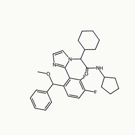 COC(c1ccccc1)c1ccc(F)c(F)c1-c1nccn1C(C(=O)NC1CCCC1)C1CCCCC1